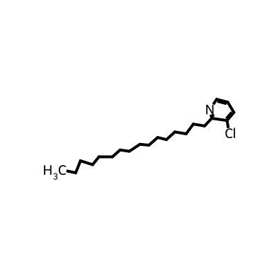 CCCCCCCCCCCCCCCCc1ncccc1Cl